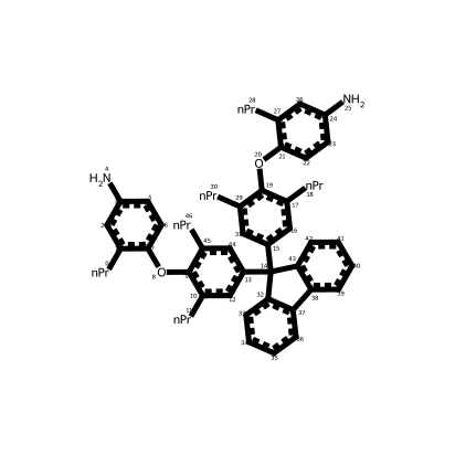 CCCc1cc(N)ccc1Oc1c(CCC)cc(C2(c3cc(CCC)c(Oc4ccc(N)cc4CCC)c(CCC)c3)c3ccccc3-c3ccccc32)cc1CCC